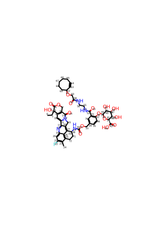 CC[C@@]1(O)C(=O)OCc2c1cc1n(c2=O)Cc2c-1nc1cc(F)c(C)c3c1c2[C@@H](NC(=O)OCc1ccc(O[C@@H]2O[C@H](C(=O)O)[C@@H](O)[C@H](O)[C@H]2O)c(C(=O)NCCNC(=O)COC2C#CCCCCC2)c1)CC3